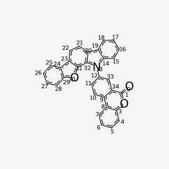 O=c1oc2ccccc2c2ccc(-n3c4ccccc4c4ccc5c6ccccc6oc5c43)cc12